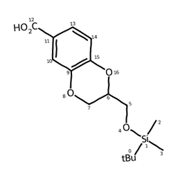 CC(C)(C)[Si](C)(C)OCC1COc2cc(C(=O)O)ccc2O1